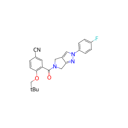 CC(C)(C)COc1ccc(C#N)cc1C(=O)N1Cc2cn(-c3ccc(F)cc3)nc2C1